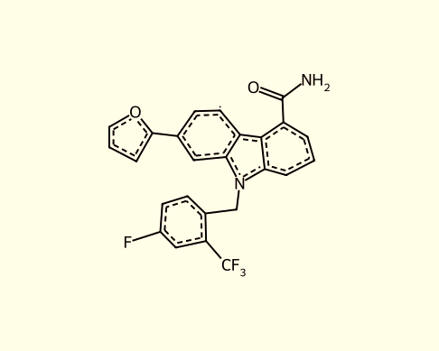 NC(=O)c1cccc2c1c1[c]cc(-c3ccco3)cc1n2Cc1ccc(F)cc1C(F)(F)F